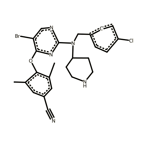 Cc1cc(C#N)cc(C)c1Oc1nc(N(Cc2ccc(Cl)cc2)C2CCNCC2)ncc1Br